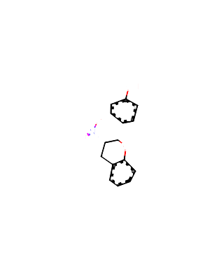 O=[N+]([O-])[C@H]1Cc2ccccc2O[C@H]1c1ccc(O)cc1